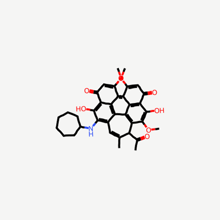 COc1c(O)c2c(=O)cc(OC)c3c4c(OC)cc(=O)c5c(O)c(NC6CCCCCC6)c6c(c(c1C(C(C)=O)C(C)=C6)c23)c54